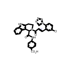 O=C(O)c1ccc(NC(=O)C2c3c([nH]c4ccccc34)CCN2C(=O)/C=C/c2cc(Cl)ccc2-n2cnnn2)cc1